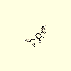 COC[C@H](CCO)N1CCN(C(=O)OC(C)(C)C)C(C)C1=O